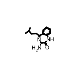 CC(C)CCC1=N[C@H](N)C(=O)Nc2ccccc21